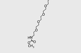 COC(=O)NCCOCCOCCOCCOCCO